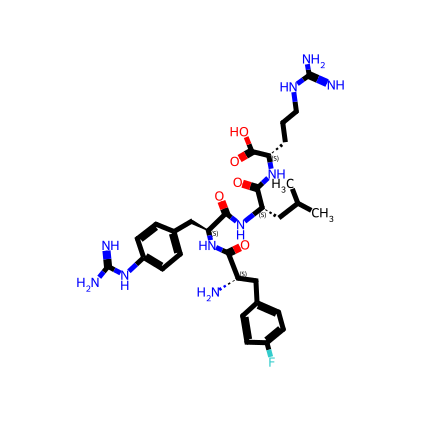 CC(C)C[C@H](NC(=O)[C@H](Cc1ccc(NC(=N)N)cc1)NC(=O)[C@@H](N)Cc1ccc(F)cc1)C(=O)N[C@@H](CCCNC(=N)N)C(=O)O